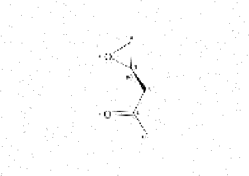 CC(=O)C[C@@H]1CO1